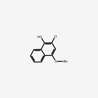 CCCCOc1cc(Cl)c(O)c2ccccc12